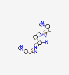 CC(c1cccc(-n2cccn2)c1)c1cnc(N2CCc3cccc(-c4cc(C#N)cc5c4CCN(c4ncc(Cc6ccc(-n7cccn7)cc6)s4)C5)c3C2)s1